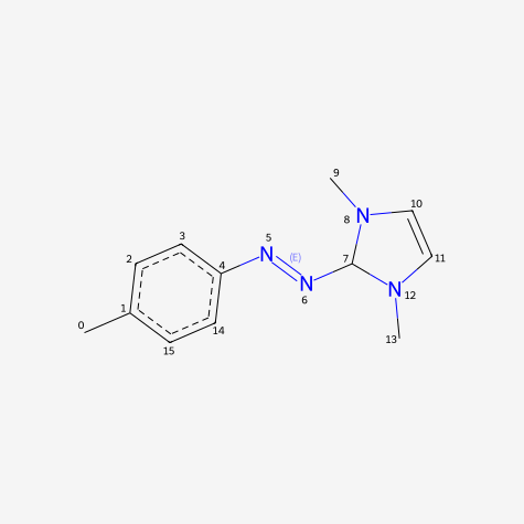 Cc1ccc(/N=N/C2N(C)C=CN2C)cc1